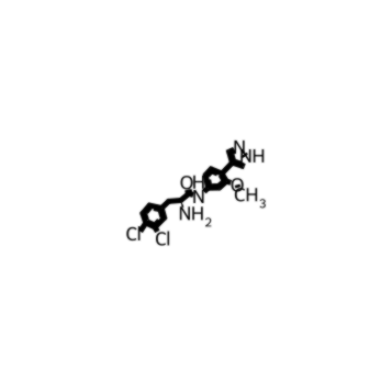 COc1cc(NC(=O)[C@H](N)Cc2ccc(Cl)c(Cl)c2)ccc1-c1cn[nH]c1